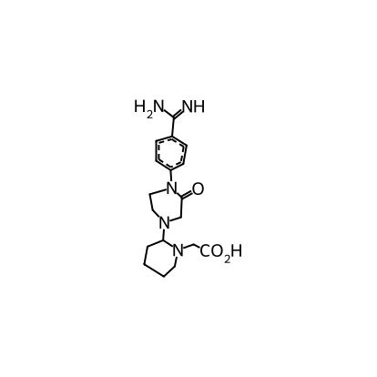 N=C(N)c1ccc(N2CCN(C3CCCCN3CC(=O)O)CC2=O)cc1